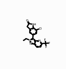 CCn1nc2ccc(C(F)(F)F)nc2c1-c1cc(Cl)c2c(c1)CC(=O)N2